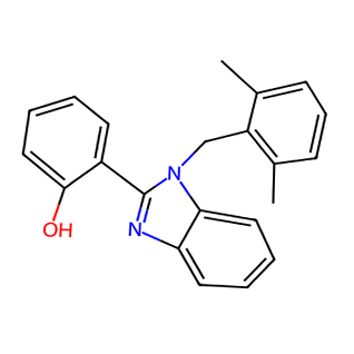 Cc1cccc(C)c1Cn1c(-c2ccccc2O)nc2ccccc21